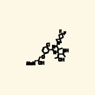 CNC[C@@H](O)COc1ccc(Cl)c(-c2nc(/C(C(C)=N)=C(\C)O)c(C)c(N3CC4(C3)CC(F)(F)C4)n2)c1